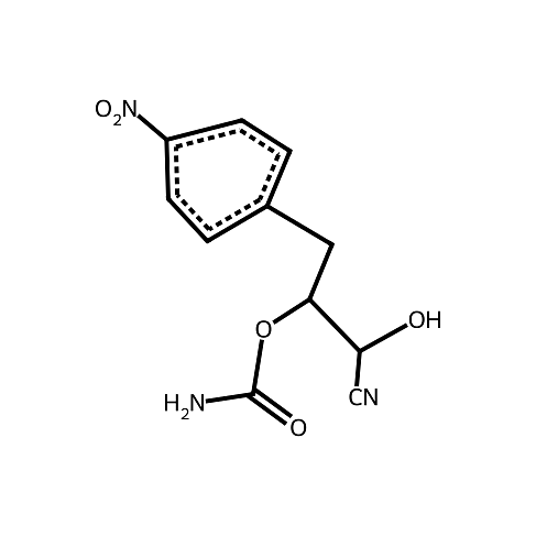 N#CC(O)C(Cc1ccc([N+](=O)[O-])cc1)OC(N)=O